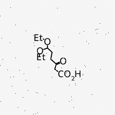 CCOC(CCC(=O)CC(=O)O)OCC